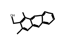 Cc1cc2cc3ccccc3cc2c(C)c1CO